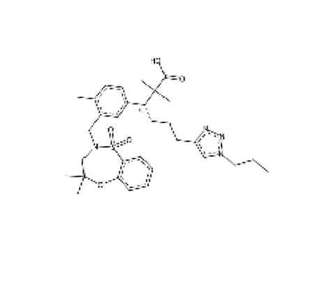 CCCn1cc(CCC[C@H](c2ccc(C)c(CN3CC(C)(C)Oc4ccccc4S3(=O)=O)c2)C(C)(C)C(=O)O)nn1